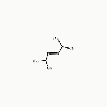 CC(C)(C)C(C#N)N=NC(C#N)C(C)(C)C